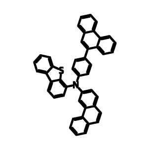 c1ccc2c(c1)ccc1ccc(N(c3ccc(-c4cc5ccccc5c5ccccc45)cc3)c3cccc4c3sc3ccccc34)cc12